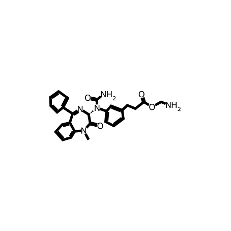 CN1C(=O)[C@@H](N(C(N)=O)c2cccc(CCC(=O)OCN)c2)N=C(c2ccccc2)c2ccccc21